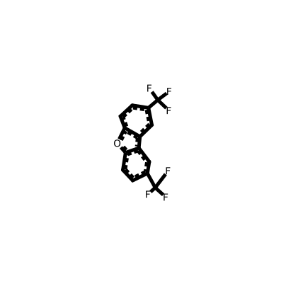 FC(F)(F)c1ccc2oc3ccc(C(F)(F)F)cc3c2c1